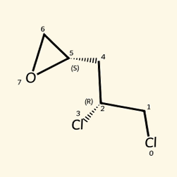 ClC[C@H](Cl)C[C@H]1CO1